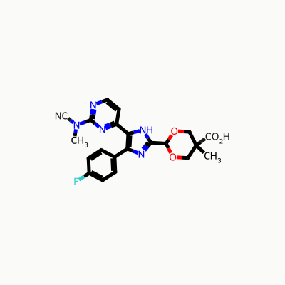 CN(C#N)c1nccc(-c2[nH]c(C3OCC(C)(C(=O)O)CO3)nc2-c2ccc(F)cc2)n1